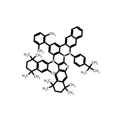 Cc1cc2c(cc1N1c3cc(-c4c(C)cccc4C)cc4c3B(c3oc5cc6c(cc5c31)C(C)(C)CCC6(C)C)N(c1ccc(C(C)(C)C)cc1)c1cc3ccccc3cc1-4)C(C)(C)CCC2(C)C